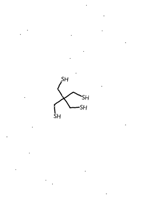 SCC(CS)(CS)CS